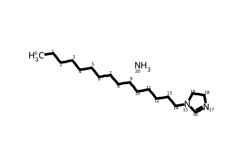 CCCCCCCCCCCCCCCN1C=NCC1.N